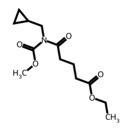 CCOC(=O)CCCC(=O)N(CC1CC1)C(=O)OC